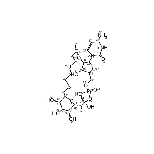 COCCOCCSCC1O[C@H](OP(=O)(O)OP(=O)(O)OCC2OC(N3C=CC(N)NC3=O)[C@H](O)[C@@H]2O)[C@@H](O)C(O)[C@H]1O